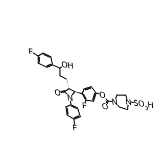 O=C(Oc1ccc([C@@H]2[C@@H](CC[C@H](O)c3ccc(F)cc3)C(=O)N2c2ccc(F)cc2)c(F)c1)N1CCN(S(=O)(=O)O)CC1